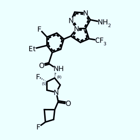 CCc1c(F)cc(-c2cc(C(F)(F)F)c3c(N)ncnn23)cc1C(=O)N[C@@H]1CN(C(=O)C2CC(F)C2)C[C@@H]1F